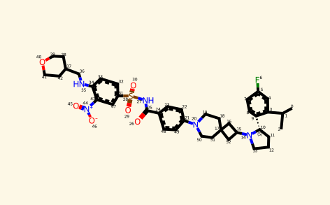 CC(C)c1cc(F)ccc1[C@@H]1CCCN1C1CC2(CCN(c3ccc(C(=O)NS(=O)(=O)c4ccc(NCC5CCOCC5)c([N+](=O)[O-])c4)cc3)CC2)C1